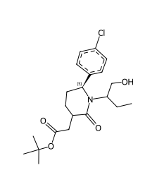 CCC(CO)N1C(=O)C(CC(=O)OC(C)(C)C)CC[C@H]1c1ccc(Cl)cc1